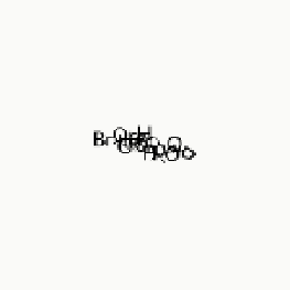 Cc1c(OC(=O)c2ccccc2)cc2c(c1C)[C@H]1CC[C@]3(C)[C@@H](OC(=O)CBr)CC[C@H]3[C@@H]1CC2